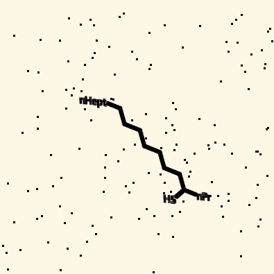 [CH2]CCC(S)CCCCCCCCCCCCCC